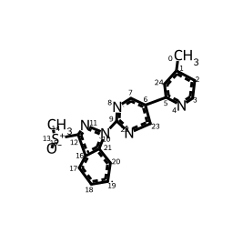 Cc1ccnc(-c2cnc(-n3nc([S+](C)[O-])c4cc[c]cc43)nc2)c1